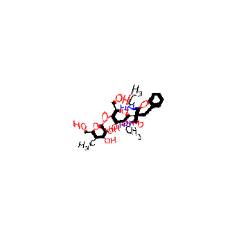 CNC(=O)C(Cc1ccccc1)(C(=O)NC)[C@@H]1O[C@H](CO)[C@@H](O[C@H]2O[C@H](CO)[C@@H](C)[C@H](O)[C@H]2O)[C@H](O)[C@H]1O